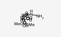 COc1cc(C2c3cc4c(cc3[C@@H](NS(=O)(=O)CCNCCCCN)[C@H]3COC(=O)[C@H]23)OCO4)cc(OC)c1O